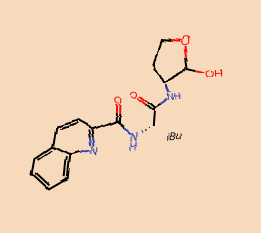 CC[C@H](C)[C@H](NC(=O)c1ccc2ccccc2n1)C(=O)N[C@H]1CCOC1O